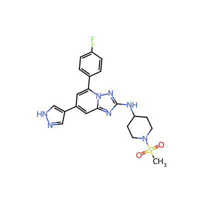 CS(=O)(=O)N1CCC(Nc2nc3cc(-c4cn[nH]c4)cc(-c4ccc(F)cc4)n3n2)CC1